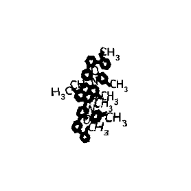 CCc1cccc(Nc2c(-c3cc4c(C(C)C)cc(N(c5cccc(CC)c5)c5cccc6c5oc5c(-c7ccccc7CC)cccc56)c5ccc6c(C(C)C)ccc3c6c45)ccc(-c3cccc(-c4ccccc4CC)c3)c2O)c1